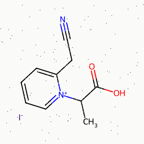 CC(C(=O)O)[n+]1ccccc1CC#N.[I-]